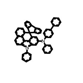 c1ccc(-c2ccc(N(c3ccccc3)c3cc4c5c6c7c(cccc7ccc6n(-c6ccccc6)c5c3)C43c4ccccc4-c4ccccc43)cc2)cc1